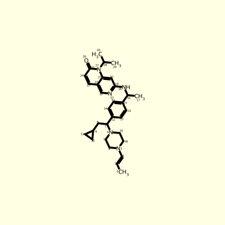 CC=CN1CCN(C(CC2CC2)c2ccc(C(C)Nc3cc4c(ccc(=O)n4C(C)C)cn3)cc2)CC1